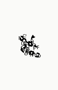 O=C(OC(Cc1c(Cl)cncc1Cl)c1ccc(OC(F)F)c(OCC2CC2)c1)C1SCCN1S(=O)(=O)c1ccc(N2CCOCC2)nc1